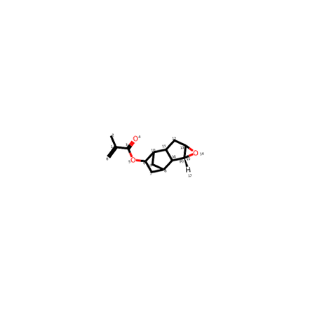 C=C(C)C(=O)OC1CC2CC1C1CC3O[C@@H]3C21